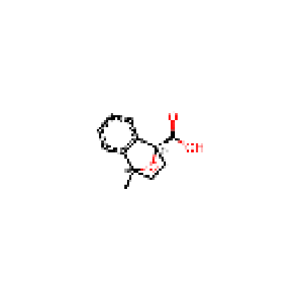 C[C@]12CC[C@](C(=O)O)(O1)c1ccccc12